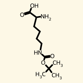 CC(C)(C)OC(=O)NCCCCC(N)C(=O)O